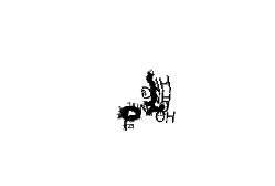 CCNC(=O)Nc1cn(-c2cccc(F)c2)cc1C(=O)O